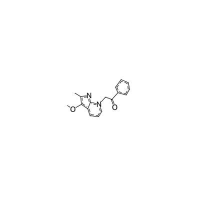 COc1c2cccn(CC(=O)c3ccccc3)c-2nc1C